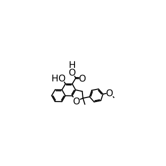 COc1ccc(C2(C)Cc3c(C(=O)O)c(O)c4ccccc4c3O2)cc1